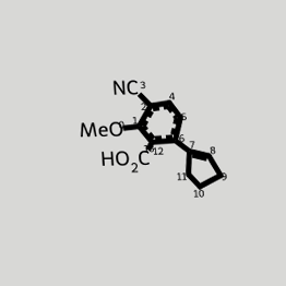 COc1c(C#N)ccc(C2=CCCC2)c1C(=O)O